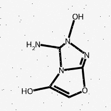 NC1N(O)N=C2OC=C(O)N21